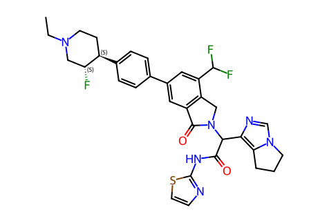 CCN1CC[C@@H](c2ccc(-c3cc4c(c(C(F)F)c3)CN(C(C(=O)Nc3nccs3)c3ncn5c3CCC5)C4=O)cc2)[C@H](F)C1